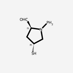 O=C[C@@H]1C[C@@H](S)CN1P